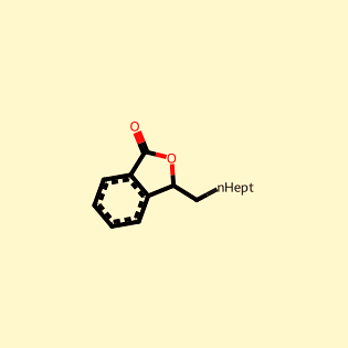 CCCCCCCCC1OC(=O)c2ccccc21